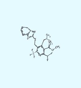 COC(=O)c1c(C(F)F)nc(C(F)(F)F)c(CSc2nc3ccccc3o2)c1CC(C)C